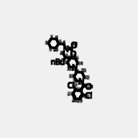 CCCCC1CN(CC2CCCCC2)C(=O)OC12CCN(C1CCN(C(=O)c3c(Cl)cccc3Cl)CC1)CC2